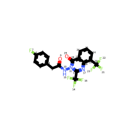 O=C(Cc1ccc(F)cc1)Nn1c(C(F)(F)F)nc2c(C(F)(F)F)cccc2c1=O